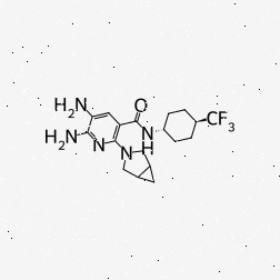 Nc1cc(C(=O)N[C@H]2CC[C@H](C(F)(F)F)CC2)c(N2CC3CC3C2)nc1N